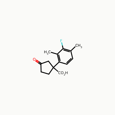 Cc1ccc(C2(C(=O)O)CCC(=O)C2)c(C)c1F